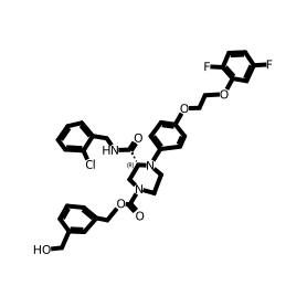 O=C(NCc1ccccc1Cl)[C@H]1CN(C(=O)OCc2cccc(CO)c2)CCN1c1ccc(OCCOc2cc(F)ccc2F)cc1